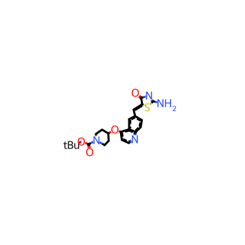 CC(C)(C)OC(=O)N1CCC(Oc2ccnc3ccc(/C=C4\SC(N)=NC4=O)cc23)CC1